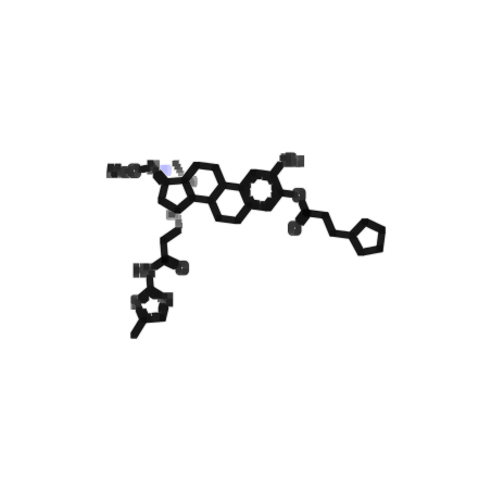 CO/N=C1\C[C@@H](CCC(=O)Nc2ncc(C)s2)C2C3CCc4cc(OC(=O)CCC5CCCC5)c(C(C)(C)C)cc4C3CC[C@]12C